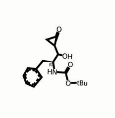 CC(C)(C)OC(=O)N[C@@H](Cc1ccccc1)C(O)C1CC1=O